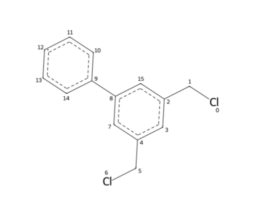 ClCc1cc(CCl)cc(-c2cc[c]cc2)c1